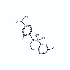 O=C(O)c1ccc(N2CCc3ccc(F)cc3S2(O)O)c(F)c1